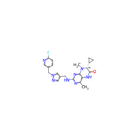 Cc1nc(NCc2cnn(Cc3ccc(F)nc3)c2)nc2c1NC(=O)[C@@H](C1CC1)N2C